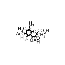 CC(=O)Oc1c(C)c(C)c2c(c1C)[C@@H](OC(C)=O)[C@@H](O)[C@](C)(C(=O)O)O2